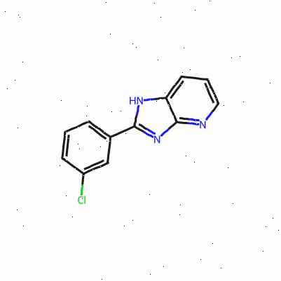 Clc1cccc(-c2nc3ncccc3[nH]2)c1